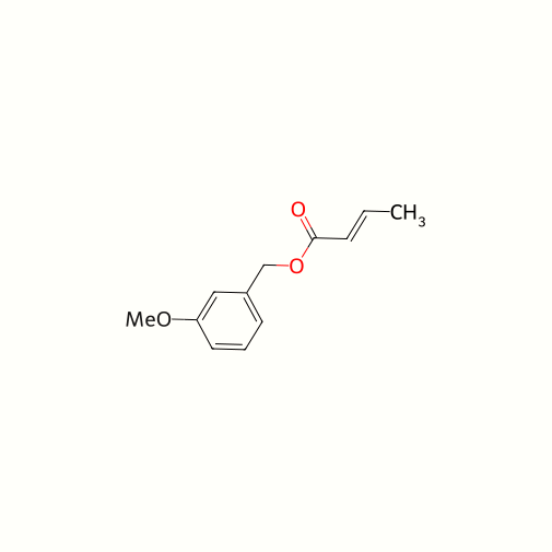 CC=CC(=O)OCc1cccc(OC)c1